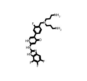 NCCCN(CCCN)Cc1ccc(-c2c[nH]c(Nc3nc4cc(F)c(F)c(F)c4[nH]3)cc2=O)cc1F